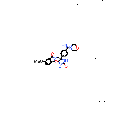 COc1ccc2c(c1)C(=O)N(C[C@@]1(c3ccc(C(=N)N4CCOCC4)cc3)NC(=O)NC1=O)C2